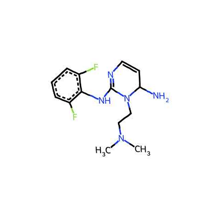 CN(C)CCN1C(Nc2c(F)cccc2F)=NC=CC1N